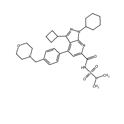 CN(C)S(=O)(=O)NC(=O)c1cc(-c2ccc(CN3CCOCC3)cc2)c2c(C3CCC3)nn(C3CCCCC3)c2n1